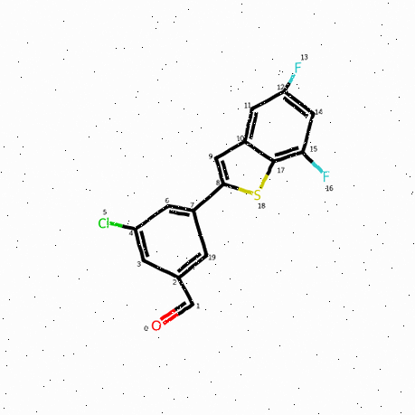 O=Cc1cc(Cl)cc(-c2cc3cc(F)cc(F)c3s2)c1